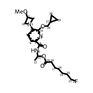 COC1CN(c2ccc(C(=O)NC(C)OC(=O)CCCCCCF)nc2OCC2CC2)C1